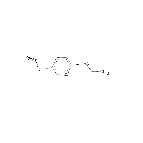 [CH2]C=Cc1ccc(OCCCCCC)cc1